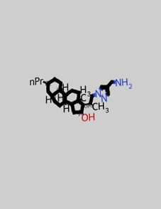 CCC[C@H]1CC[C@H]2[C@H](CC[C@H]3C4C[C@@H](O)[C@H]([C@@H](C)Cn5cc(CN)cn5)[C@@]4(C)CC[C@H]23)C1